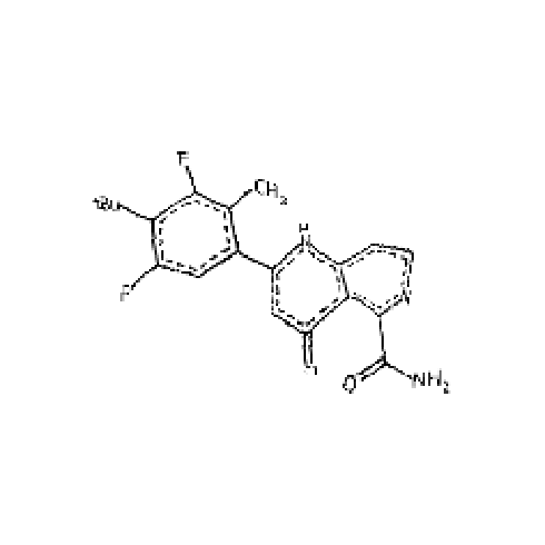 Cc1c(-c2cc(=O)c3c(C(N)=O)nccc3[nH]2)cc(F)c(C(C)(C)C)c1F